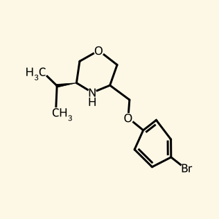 CC(C)[C@H]1COCC(COc2ccc(Br)cc2)N1